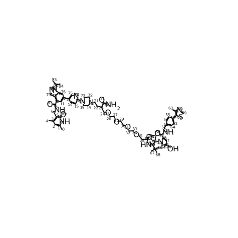 Cc1cc(C)c(CNC(=O)c2cc(-c3ccc(N4CCN(CCC(COCCOCCOCCOCCC(=O)N[C@H](C(=O)N5C[C@H](O)C[C@H]5C(=O)NCc5ccc(-c6scnc6C)cc5)C(C)(C)C)C(N)=O)CC4)nc3)cc3c2cnn3C(C)C)c(=O)[nH]1